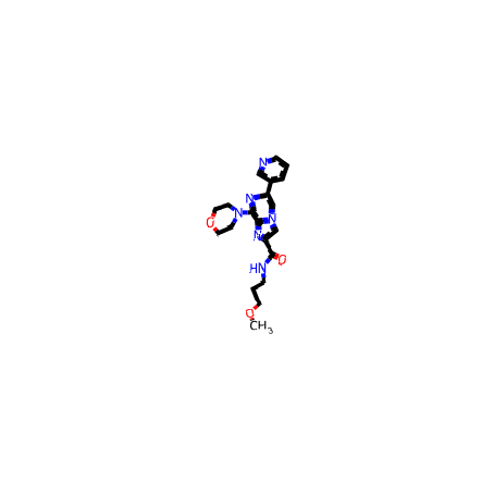 COCCCNC(=O)c1cn2cc(-c3cccnc3)nc(N3CCOCC3)c2n1